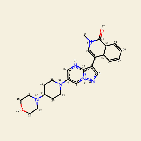 CN1C=C(c2cnn3cc(N4CCC(N5CCOCC5)CC4)cnc23)C2C=CC=CC2C1=O